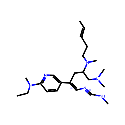 CC=CCCN(C)C(C/C(=C\N=C\NC)c1ccc(N(C)CC)nc1)CN(C)C